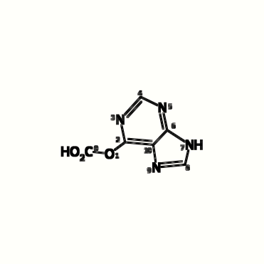 O=C(O)Oc1ncnc2[nH]cnc12